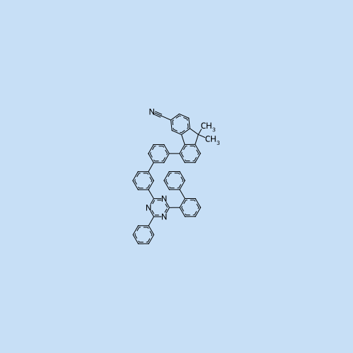 CC1(C)c2ccc(C#N)cc2-c2c(-c3cccc(-c4cccc(-c5nc(-c6ccccc6)nc(-c6ccccc6-c6ccccc6)n5)c4)c3)cccc21